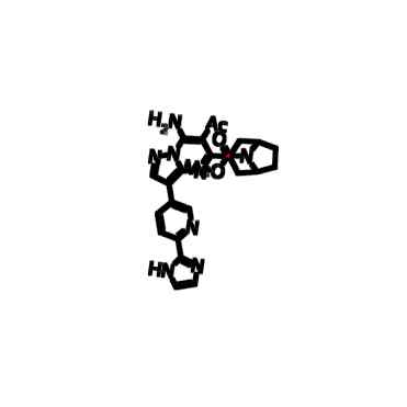 COC(=O)N1C2CCC1CC(c1nc3c(-c4ccc(-c5ncc[nH]5)nc4)cnn3c(N)c1C(C)=O)C2